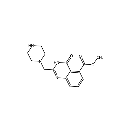 COC(=O)c1cccc2nc(CN3CCNCC3)[nH]c(=O)c12